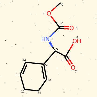 COC(=O)N[C@@H](C(=O)O)C1=CCCC=C1